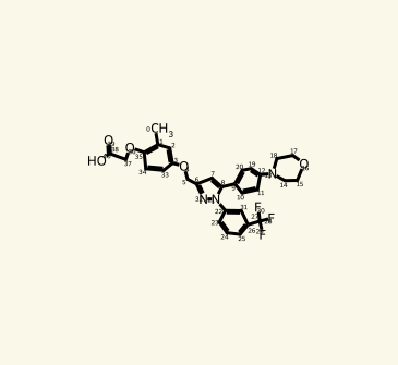 Cc1cc(OCc2cc(-c3ccc(N4CCOCC4)cc3)n(-c3cccc(C(F)(F)F)c3)n2)ccc1OCC(=O)O